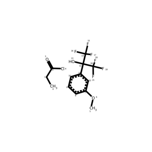 CCC(=O)Cl.COc1cccc(C(O)(C(F)(F)F)C(F)(F)F)c1